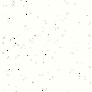 CC(C)(C)OC(=O)C[C@H](CCC=O)O[Si](C)(C)C